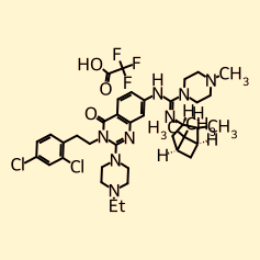 CCN1CCN(c2nc3cc(NC(=N[C@H]4C[C@@H]5C[C@H]([C@@H]4C)C5(C)C)N4CCN(C)CC4)ccc3c(=O)n2CCc2ccc(Cl)cc2Cl)CC1.O=C(O)C(F)(F)F